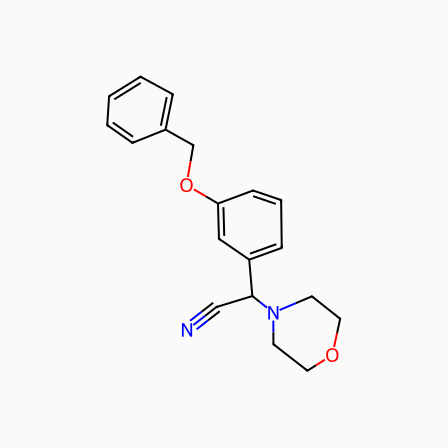 N#CC(c1cccc(OCc2ccccc2)c1)N1CCOCC1